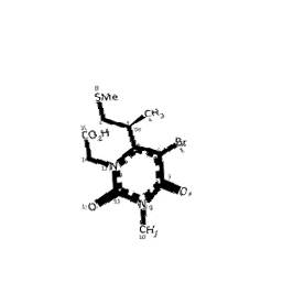 CSC[C@@H](C)c1c(Br)c(=O)n(C)c(=O)n1CC(=O)O